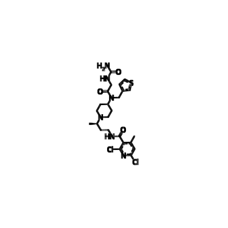 Cc1cc(Cl)nc(Cl)c1C(=O)NCC[C@@H](C)N1CCC(N(Cc2ccsc2)C(=O)CNC(N)=O)CC1